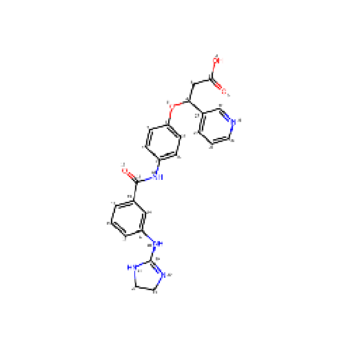 O=C(O)CC(Oc1ccc(NC(=O)c2cccc(NC3=NCCN3)c2)cc1)c1cccnc1